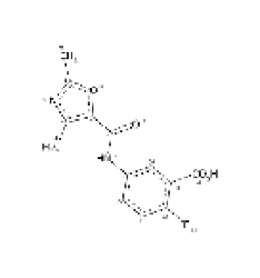 Cc1nc(C)c(C(=O)Nc2ccc(F)c(C(=O)O)c2)o1